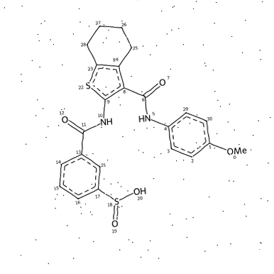 COc1ccc(NC(=O)c2c(NC(=O)c3cccc(S(=O)O)c3)sc3c2CCCC3)cc1